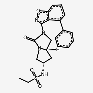 CCS(=O)(=O)N[C@H]1C[C@H]2CN(c3noc4cccc(-c5ccccc5)c34)C(=O)N2C1